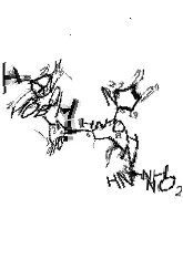 CC(C)C[C@H](NC(=O)[C@H](CCCNC(=N)N[N+](=O)[O-])NC(=O)c1ccccn1)B1O[C@@H]2C[C@@H]3C[C@@H](C3(C)C)[C@]2(C)O1